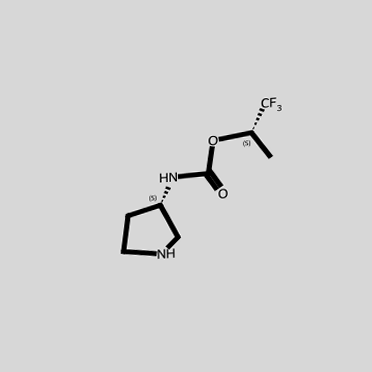 C[C@H](OC(=O)N[C@H]1CCNC1)C(F)(F)F